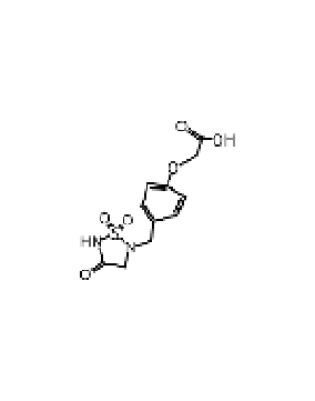 O=C(O)COc1ccc(CN2CC(=O)NS2(=O)=O)cc1